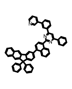 c1ccc(-c2cc(-c3cccc(-c4cccnc4)c3)nc(-c3ccc(-c4ccc5c(c4)-c4cc6ccccc6cc4C5(c4ccccc4)c4ccccc4)c4ccccc34)n2)cc1